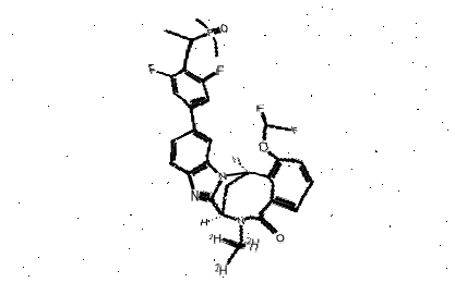 [2H]C([2H])([2H])N1C(=O)c2cccc(OC(F)F)c2[C@H]2C[C@@H]1c1nc3ccc(-c4cc(F)c(C(C)P(C)(C)=O)c(F)c4)cc3n12